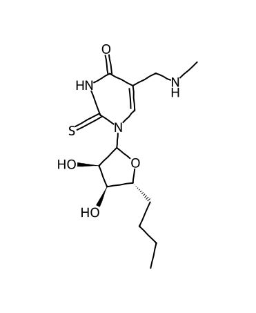 CCCC[C@H]1OC(n2cc(CNC)c(=O)[nH]c2=S)[C@H](O)[C@@H]1O